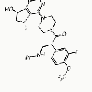 CC(C)NC[C@@H](C(=O)N1CCN(c2ncnc3c2[C@H](C)C[C@H]3O)CC1)c1ccc(OC(F)(F)F)c(F)c1